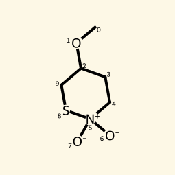 COC1CC[N+]([O-])([O-])SC1